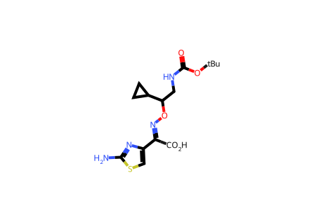 CC(C)(C)OC(=O)NCC(ON=C(C(=O)O)c1csc(N)n1)C1CC1